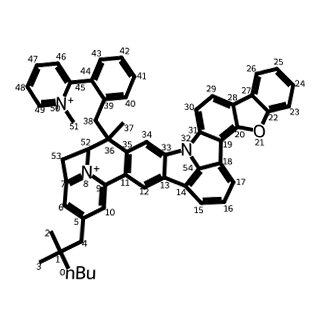 CCCCC(C)(C)Cc1cc2[n+]3c(c1)-c1cc4c5cccc6c7c8oc9ccccc9c8ccc7n(c4cc1C(C)(Cc1ccccc1-c1cccc[n+]1C)C3C2)c56